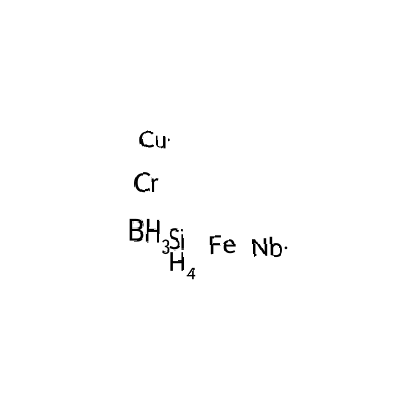 B.[Cr].[Cu].[Fe].[Nb].[SiH4]